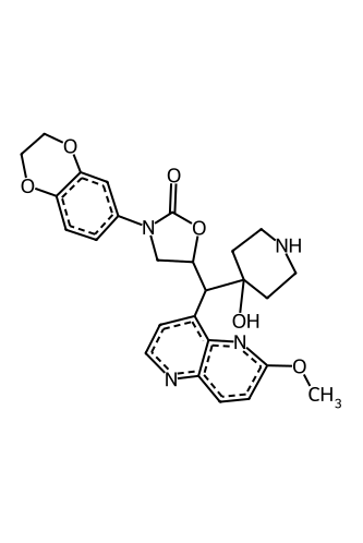 COc1ccc2nccc(C(C3CN(c4ccc5c(c4)OCCO5)C(=O)O3)C3(O)CCNCC3)c2n1